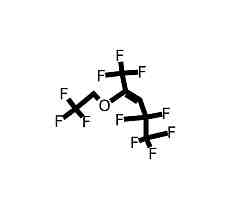 FC(F)(F)COC(=CC(F)(F)C(F)(F)F)C(F)(F)F